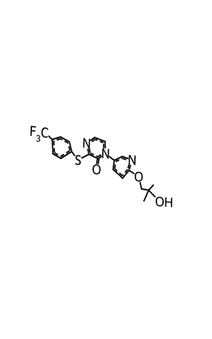 CC(C)(O)COc1ccc(-n2ccnc(Sc3ccc(C(F)(F)F)cc3)c2=O)cn1